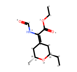 CCOC(=O)C(NC=O)=C1C[C@@H](CC)O[C@H](C)C1